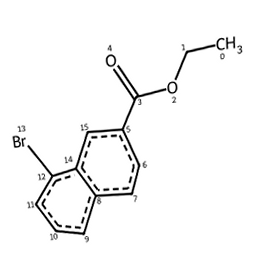 CCOC(=O)c1ccc2cccc(Br)c2c1